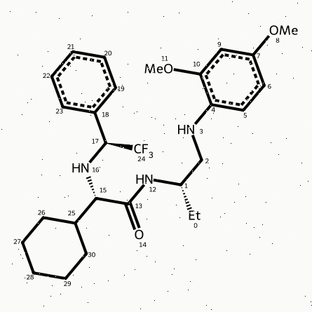 CC[C@@H](CNc1ccc(OC)cc1OC)NC(=O)[C@@H](N[C@@H](c1ccccc1)C(F)(F)F)C1CCCCC1